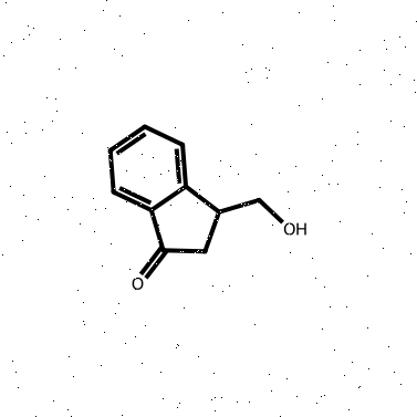 O=C1CC(CO)c2ccccc21